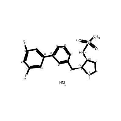 CS(=O)(=O)N[C@H]1CCN[C@H]1Cc1cccc(-c2cc(F)cc(F)c2)c1.Cl